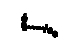 N=c1ccc(-c2ccc(Cl)cc2)nn1CCCCCCCCCCC(=O)Nc1ccc(-c2ccccc2)nn1